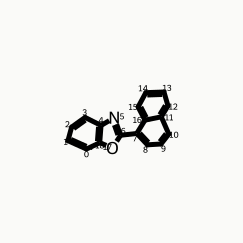 [c]1cccc2nc(-c3cccc4ccccc34)oc12